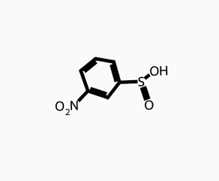 O=[N+]([O-])c1cccc(S(=O)O)c1